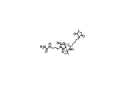 [2H]C(=O)[C@H](CCCNC(N)=O)NC(=O)[C@@H](NC(=O)CCCCCN1C(=O)CC(C)C1=O)C(C)C